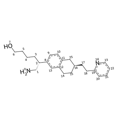 NC[C@H](CCCCO)c1ccc2c(c1)CC[C@H](CCc1ccccn1)C2